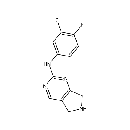 Fc1ccc(Nc2ncc3c(n2)CNC3)cc1Cl